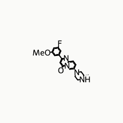 COc1cc(F)cc(-c2cc(=O)n3cc(N4CCN[C@@H](C)C4)ccc3n2)c1